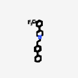 FC(F)(F)c1cccc(C2=CCN(CCc3ccc(C4=CCCCC4)cc3)CC2)c1